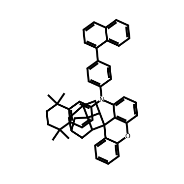 CC1(C)CCC(C)(C)c2cc(N(c3ccc(-c4cccc5ccccc45)cc3)c3cccc4c3C3(c5ccccc5O4)C4CC5CC6CC3C64C5)ccc21